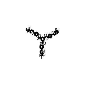 O=C(Oc1ccc(-c2ccc(C(F)(F)F)cn2)cc1)C1CC(C(=O)Oc2ccc(-c3ccc(C(F)(F)F)cn3)cc2)CC(C(=O)Oc2ccc(-c3ccc(C(F)(F)F)cn3)cc2)C1